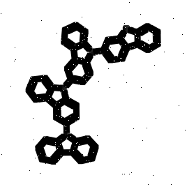 c1ccc2c(c1)oc1cc(-n3c4ccccc4c4cc(-n5c6ccccc6c6cc(-n7c8ccccc8c8ccccc87)ccc65)ccc43)ccc12